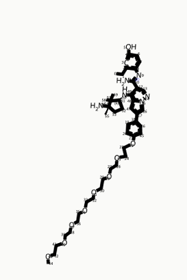 CCc1cc(O)ccc1/N=C(\N)c1cnn2cc(-c3ccc(OCCOCCOCCOCCOCCOCCOCCOC)cc3)cc2c1N[C@@H]1CC[C@](C)(N)C1(C)C